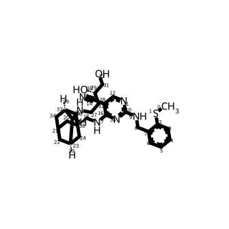 CSc1ccccc1CNc1ncc(C#N)c(NC[C@]23CC4C[C@H](C2)[C@@H](NCC[C@H](O)CO)[C@@H](C4)C3)n1